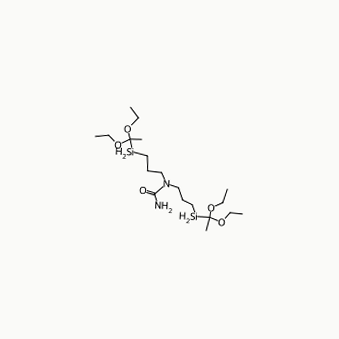 CCOC(C)(OCC)[SiH2]CCCN(CCC[SiH2]C(C)(OCC)OCC)C(N)=O